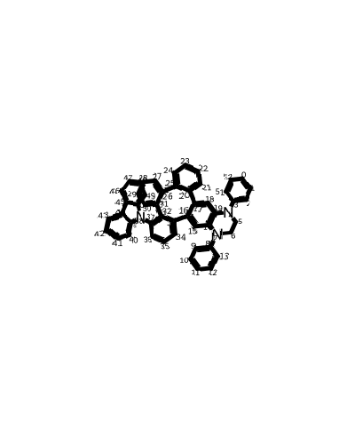 c1ccc(N2CCN(c3ccccc3)c3cc4c(cc32)-c2ccccc2-c2ccccc2-c2c-4cccc2-n2c3ccccc3c3ccccc32)cc1